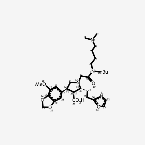 CCCCN(CCCCN(C)C)C(=O)CN1C[C@H](c2cc(OC)c3c(c2)OCO3)[C@H](C(=O)O)[C@H]1CCc1ncco1